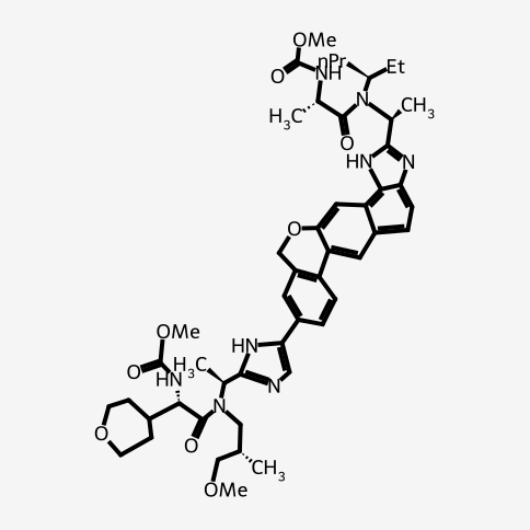 CCC[C@@H](CC)N(C(=O)[C@H](C)NC(=O)OC)[C@@H](C)c1nc2ccc3cc4c(cc3c2[nH]1)OCc1cc(-c2cnc([C@H](C)N(C[C@H](C)COC)C(=O)[C@@H](NC(=O)OC)C3CCOCC3)[nH]2)ccc1-4